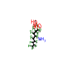 N.O=S(=O)(O)C(F)C(F)(F)C(F)C(F)C(F)C(F)C(F)C(F)C(F)F